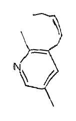 C/C=C\c1cc(C)cnc1C